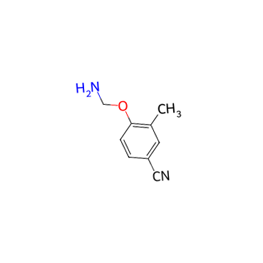 Cc1cc(C#N)ccc1OCN